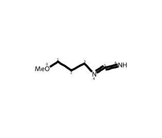 COCCCN=C=N